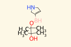 CC(C)(O)C(C)(C)OBC1=CCNC1